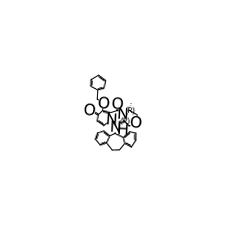 C[C@@H]1COC[C@@H]2N1C(=O)c1c(OCc3ccccc3)c(=O)ccn1N2C1c2ccccc2CCc2ccccc21